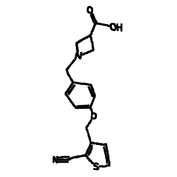 N#Cc1sccc1COc1ccc(CN2CC(C(=O)O)C2)cc1